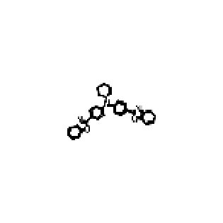 C1=Cc2oc(-c3ccc(N(c4ccc(-c5nc6ccccc6o5)cc4)C4CCCCC4)cc3)nc2CC1